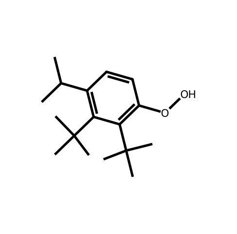 CC(C)c1ccc(OO)c(C(C)(C)C)c1C(C)(C)C